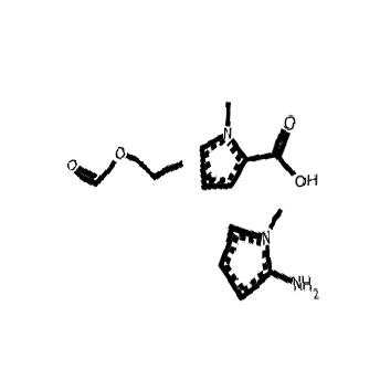 CCOC=O.Cn1cccc1C(=O)O.Cn1cccc1N